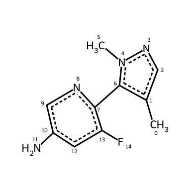 Cc1cnn(C)c1-c1ncc(N)cc1F